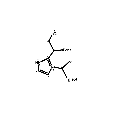 CCCCCCCCCCCC(CCCCC)c1[nH]cc[n+]1C(C)CCCCCCC